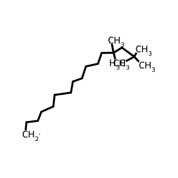 [CH2]CCCCCCCCCCCC(C)(C)CC(C)(C)C